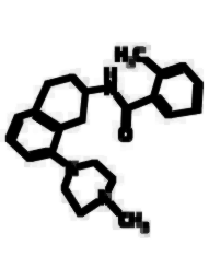 Cc1ccccc1C(=O)NC1CCc2cccc(N3CCN(C)CC3)c2C1